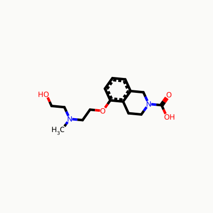 CN(CCO)CCOc1cccc2c1CCN(C(=O)O)C2